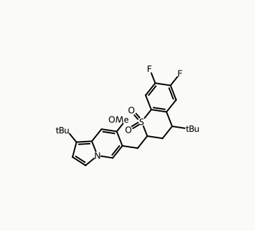 COc1cc2c(C(C)(C)C)ccn2cc1CC1CC(C(C)(C)C)c2cc(F)c(F)cc2S1(=O)=O